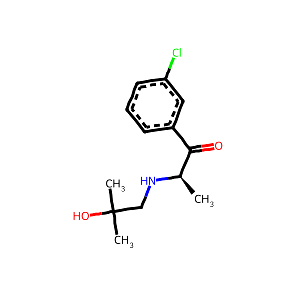 C[C@@H](NCC(C)(C)O)C(=O)c1cccc(Cl)c1